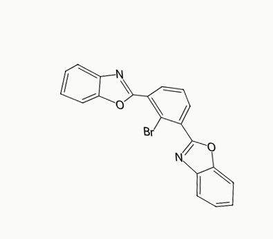 Brc1c(-c2nc3ccccc3o2)cccc1-c1nc2ccccc2o1